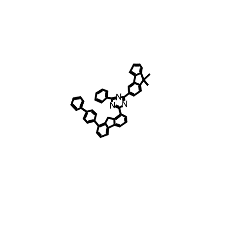 CC1(C)c2ccccc2-c2cc(-c3nc(-c4ccccc4)nc(-c4cccc5c4Cc4c(-c6ccc(-c7ccccc7)cc6)cccc4-5)n3)ccc21